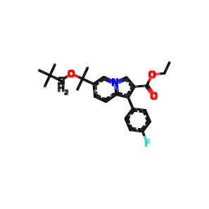 CCOC(=O)c1cn2cc(C(C)(C)O[SiH2]C(C)(C)C)ccc2c1-c1ccc(F)cc1